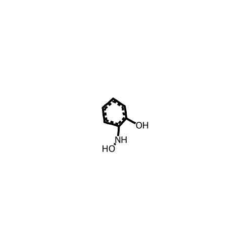 ONc1ccccc1O